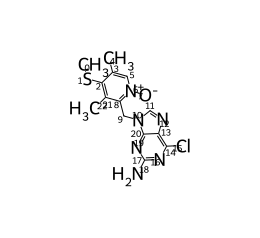 CSc1c(C)c[n+]([O-])c(Cn2cnc3c(Cl)nc(N)nc32)c1C